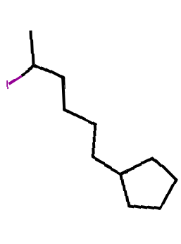 CC(I)CCCCC1CCCC1